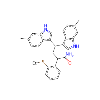 CCSc1ccccc1C(CC(c1c[nH]c2cc(C)ccc12)c1c[nH]c2cc(C)ccc12)C(N)=O